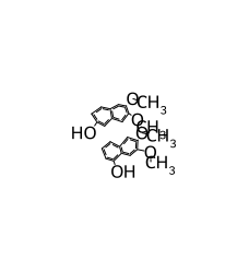 COc1cc2ccc(O)cc2cc1OC.COc1cc2cccc(O)c2cc1OC